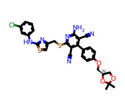 CC1(C)OC[C@H](COc2ccc(-c3c(C#N)c(N)nc(SCc4csc(Nc5cccc(Cl)c5)n4)c3C#N)cc2)O1